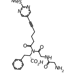 CSc1ncc(C#CCCCC(=O)N(C(=O)CNC(=O)CN)[C@@H](Cc2ccccc2)C(=O)O)cn1